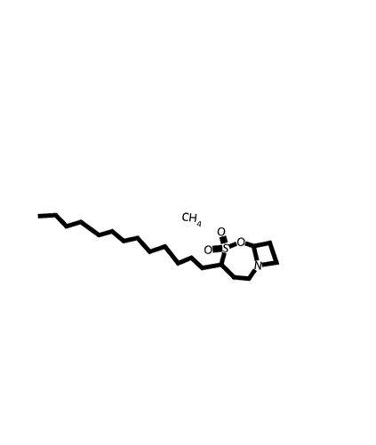 C.CCCCCCCCCCCCCC1CCN2CCC2OS1(=O)=O